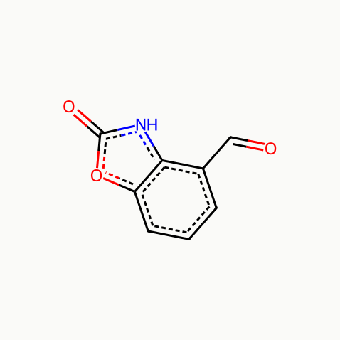 O=Cc1cccc2oc(=O)[nH]c12